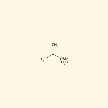 COC(C)C.O